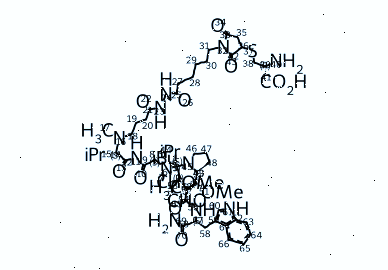 CC[C@H](C)[C@]([C@@H](CC=O)OC)(N(C)[C@H](C(=O)NC(=O)[C@H](C(C)C)N(C)CCCC(=O)NNC(=O)CCCCCN1C(=O)CC(SC[C@H](N)C(=O)O)C1=O)C(C)C)N1CCC[C@H]1[C@H](OC)[C@@H](C)C(=O)N[C@@H](Cc1c[nH]c2ccccc12)C(N)=O